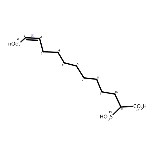 CCCCCCCC/C=C\CCCCCCCCC(C(=O)O)S(=O)(=O)O